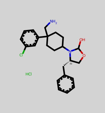 Cl.NCC1(c2cccc(Cl)c2)CCC(N2C(O)OC[C@@H]2Cc2ccccc2)CC1